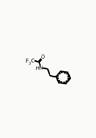 O=C(NCCc1ccccc1)C(F)(F)F